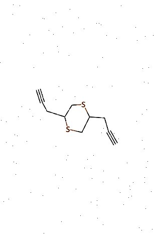 C#CCC1CSC(CC#C)CS1